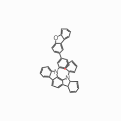 C1=CC2c3ccc4c5ccccc5n(-c5cccc(-c6ccc7oc8ccccc8c7c6)c5)c4c3N(c3ccccc3)C2C=C1